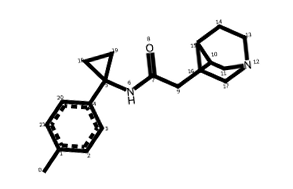 Cc1ccc(C2(NC(=O)CC3CN4CCC3CC4)CC2)cc1